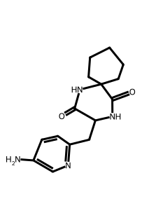 Nc1ccc(CC2NC(=O)C3(CCCCC3)NC2=O)nc1